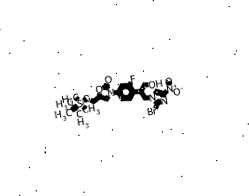 CC(C)(C)[Si](C)(C)OCC1CN(c2ccc(C(CO)Cn3cc([N+](=O)[O-])nc3Br)c(F)c2)C(=O)O1